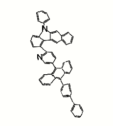 c1ccc(-c2ccc(-c3c4ccccc4c(-c4ccc(-c5cccc6c5c5cc7ccccc7cc5n6-c5ccccc5)nc4)c4ccccc34)cc2)cc1